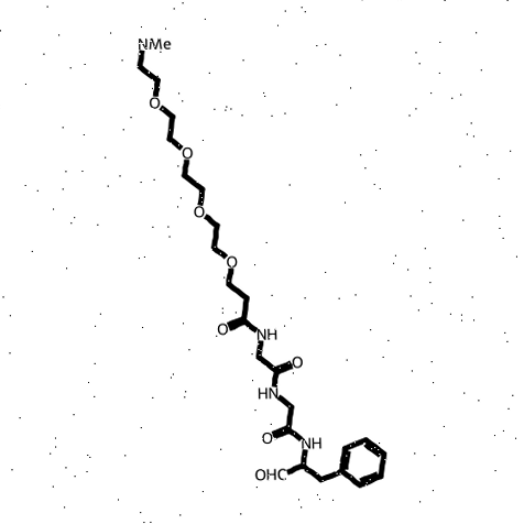 CNCCOCCOCCOCCOCCC(=O)NCC(=O)NCC(=O)NC(C=O)Cc1ccccc1